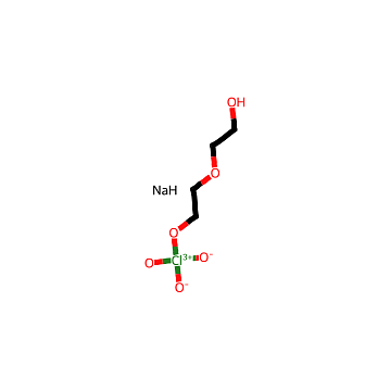 [NaH].[O-][Cl+3]([O-])([O-])OCCOCCO